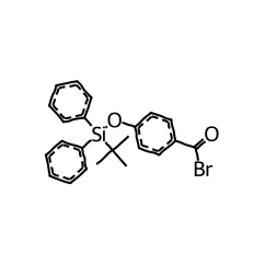 CC(C)(C)[Si](Oc1ccc(C(=O)Br)cc1)(c1ccccc1)c1ccccc1